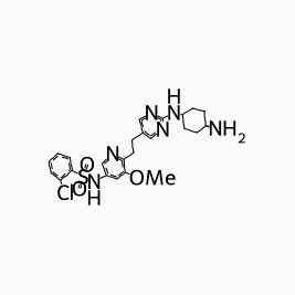 COc1cc(NS(=O)(=O)c2ccccc2Cl)cnc1CCc1cnc(N[C@H]2CC[C@H](N)CC2)nc1